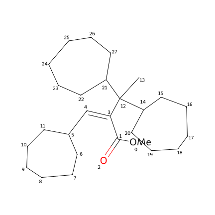 COC(=O)C(=CC1CCCCCC1)C(C)(C1CCCCCC1)C1CCCCCC1